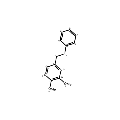 COc1ncc(CSc2ccccc2)nc1OC